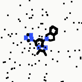 Cc1nc2c(N3CCc4ccccc4C3)cc(-n3cncn3)cn2c1C